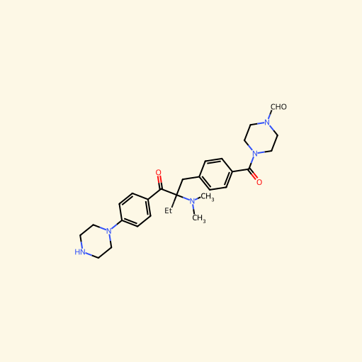 CCC(Cc1ccc(C(=O)N2CCN(C=O)CC2)cc1)(C(=O)c1ccc(N2CCNCC2)cc1)N(C)C